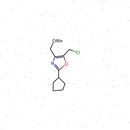 COCc1nc(C2CCCC2)oc1CCl